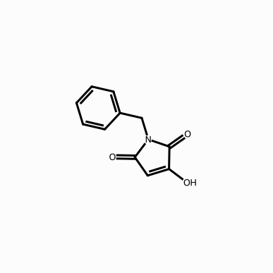 O=C1C=C(O)C(=O)N1Cc1ccccc1